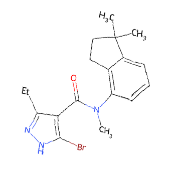 CCc1n[nH]c(Br)c1C(=O)N(C)c1cccc2c1CCC2(C)C